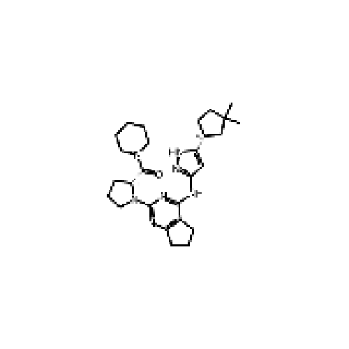 CC1(C)CC[C@@H](c2cc(Nc3nc(N4CCC[C@@H]4C(=O)N4CCCCC4)nc4c3CCC4)n[nH]2)C1